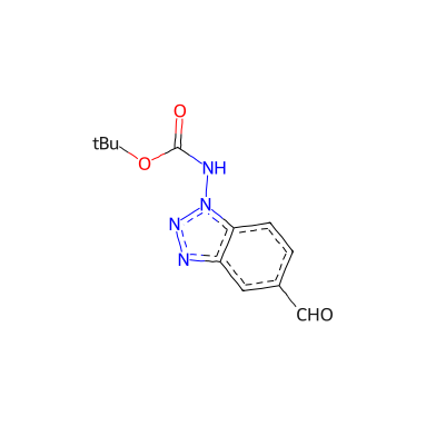 CC(C)(C)OC(=O)Nn1nnc2cc(C=O)ccc21